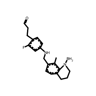 BN1CCCc2ccc(CNc3ccc(CCC=O)c(F)c3)c(C)c21